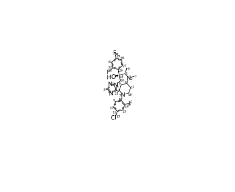 C[C@@H](N(C)C1CCN(c2ccc(Cl)cc2F)CC1)[C@](O)(Cn1cncn1)c1ccc(F)cc1F